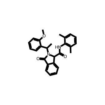 COc1ccccc1C(C)N1C(=O)c2ccccc2C1C(=O)Nc1c(C)cccc1C